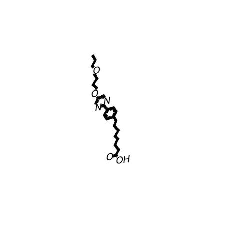 CCCOCCCCOc1cnc(-c2ccc(CCCCCCCC(=O)O)cc2)nc1